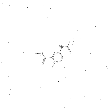 COC(=O)c1cc(NC(C)=O)ccc1C